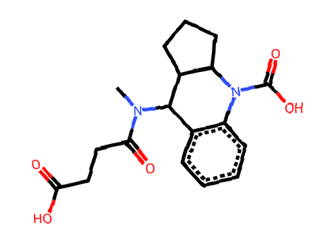 CN(C(=O)CCC(=O)O)C1c2ccccc2N(C(=O)O)C2CCCC12